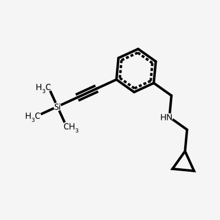 C[Si](C)(C)C#Cc1cccc(CNCC2CC2)c1